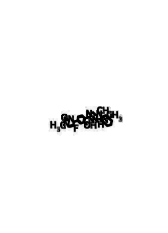 CN(c1cnc(-c2ccc(-c3nc(=O)n(C)cc3F)cc2O)nn1)[C@@H]1C[C@H]2CCC[C@@](C)(C1)N2